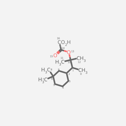 CC(C1CCCC(C)(C)C1)C(C)(C)OC(=O)C(=O)O